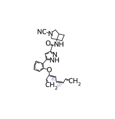 C=C/C=C\C=C(/C=C)Oc1ccccc1-c1cc(C(=O)NC23CCC2CN(C#N)C3)n[nH]1